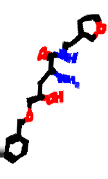 NC(CC(O)COCc1ccccc1)C(=O)NCC1CCOC1